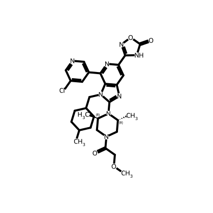 COCC(=O)N1C[C@@H](C)N(c2nc3cc(-c4noc(=O)[nH]4)nc(-c4cncc(Cl)c4)c3n2CC2CCC(C)CC2)[C@H](C)C1